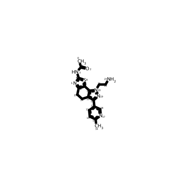 CC(=O)Nc1nc2c(s1)-c1c(c(-c3ccc(C)nc3)nn1CCN)CC2